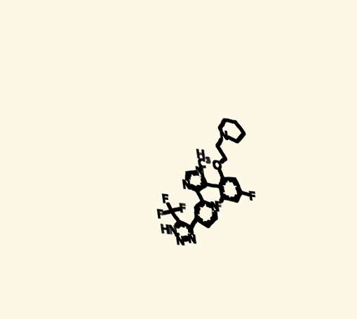 Cn1cnc(-c2cc(-c3nn[nH]c3C(F)(F)F)ccn2)c1-c1c(F)cc(F)cc1OCCN1CCCCC1